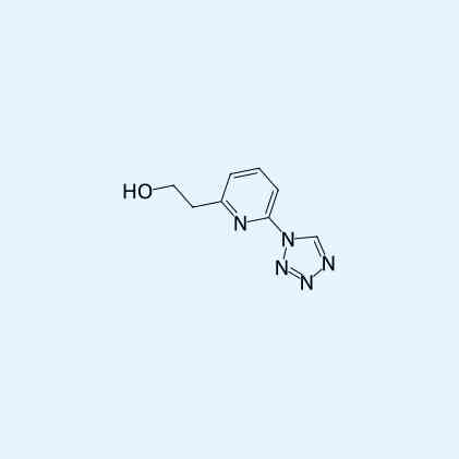 OCCc1cccc(-n2cnnn2)n1